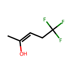 C/C(O)=C/CC(F)(F)F